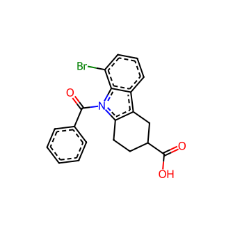 O=C(O)C1CCc2c(c3cccc(Br)c3n2C(=O)c2ccccc2)C1